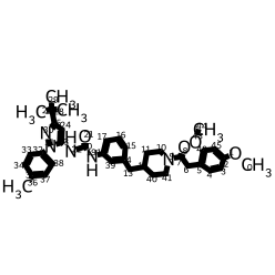 COc1ccc(CC(=O)N2CCC(Cc3cccc(NC(=O)Nc4cc(C(C)(C)C)nn4-c4ccc(C)cc4)c3)CC2)c(OC)c1